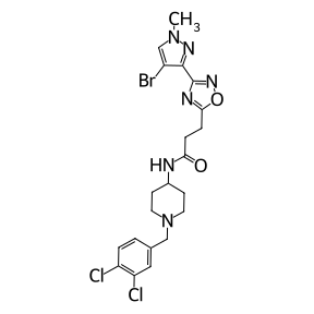 Cn1cc(Br)c(-c2noc(CCC(=O)NC3CCN(Cc4ccc(Cl)c(Cl)c4)CC3)n2)n1